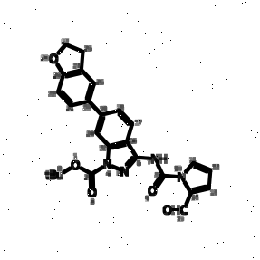 CC(C)(C)OC(=O)n1nc(NC(=O)n2cccc2C=O)c2ccc(-c3ccc4c(c3)CCO4)cc21